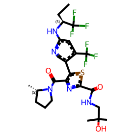 CC[C@H](Nc1cc(C(F)(F)F)c(-c2sc(C(=O)NCC(C)(C)O)nc2C(=O)N2CCC[C@@H]2C)cn1)C(F)(F)F